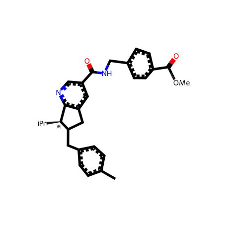 COC(=O)c1ccc(CNC(=O)c2cnc3c(c2)CC(Cc2ccc(C)cc2)[C@H]3C(C)C)cc1